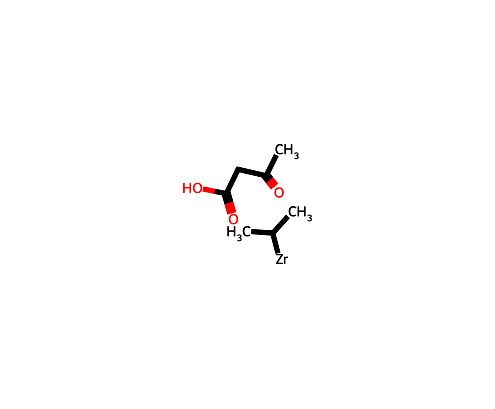 CC(=O)CC(=O)O.C[CH](C)[Zr]